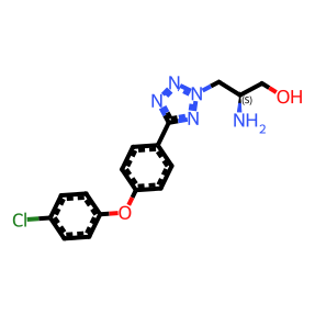 N[C@H](CO)Cn1nnc(-c2ccc(Oc3ccc(Cl)cc3)cc2)n1